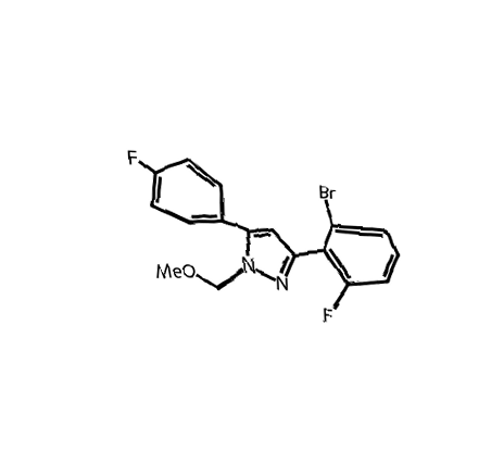 COCn1nc(-c2c(F)cccc2Br)cc1-c1ccc(F)cc1